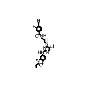 C=CC(=O)N(C)c1cc(Nc2ncc(Cl)c(NCCCNC(=O)c3ccc(C#N)c(F)c3)n2)ccc1F